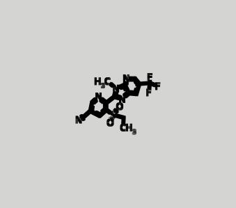 CCS(=O)(=O)c1cc(C#N)cnc1-c1nc2cc(C(F)(F)F)cnc2n1C